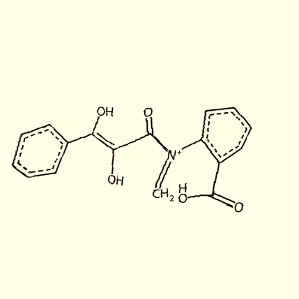 C=[N+](C(=O)C(O)=C(O)c1ccccc1)c1ccccc1C(=O)O